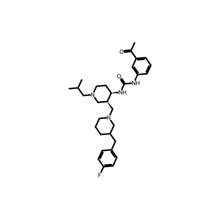 CC(=O)c1cccc(NC(=O)N[C@@H]2CCN(CC(C)C)C[C@@H]2CN2CCCC(Cc3ccc(F)cc3)C2)c1